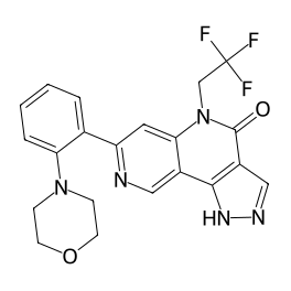 O=c1c2cn[nH]c2c2cnc(-c3ccccc3N3CCOCC3)cc2n1CC(F)(F)F